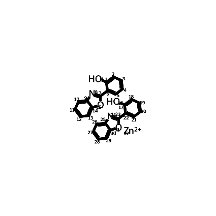 Oc1ccccc1-c1nc2ccccc2o1.Oc1ccccc1-c1nc2ccccc2o1.[Zn+2]